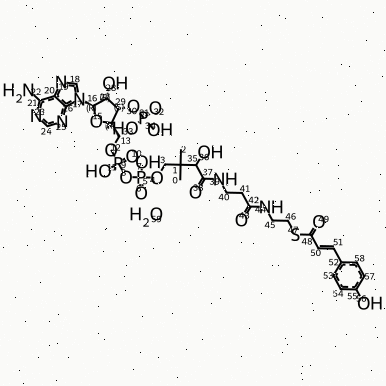 CC(C)(COP(=O)(O)OP(=O)(O)OC[C@H]1O[C@@H](n2cnc3c(N)ncnc32)[C@H](O)[C@@H]1OP(=O)(O)O)C(O)C(=O)NCCC(=O)NCCSC(=O)C=Cc1ccc(O)cc1.O